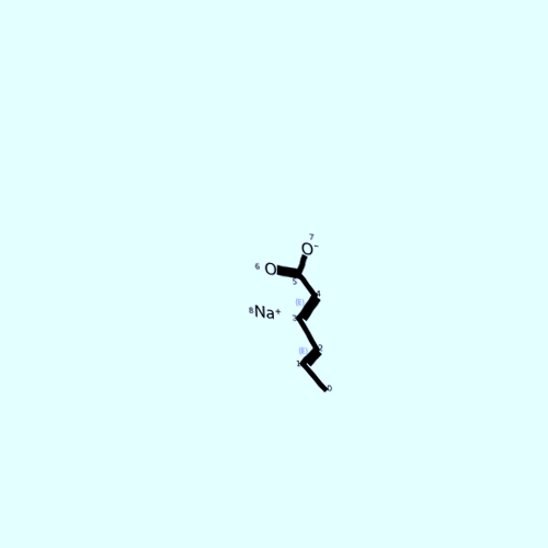 C/C=C/C=C/C(=O)[O-].[Na+]